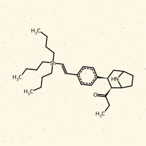 CCC[CH2][Sn](/[CH]=C/c1ccc([C@H]2CC3CCC(N3)[C@H]2C(=O)CC)cc1)([CH2]CCC)[CH2]CCC